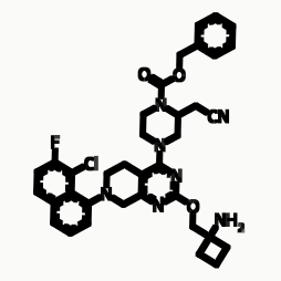 N#CCC1CN(c2nc(OCC3(N)CCC3)nc3c2CCN(c2cccc4ccc(F)c(Cl)c24)C3)CCN1C(=O)OCc1ccccc1